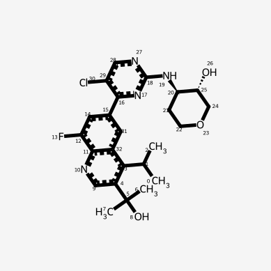 CC(C)c1c(C(C)(C)O)cnc2c(F)cc(-c3nc(N[C@@H]4CCOC[C@H]4O)ncc3Cl)cc12